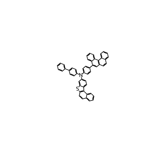 c1ccc(-c2ccc(N(c3ccc(-c4cc5ccc6ccccc6c5c5ccccc45)cc3)c3ccc4c(c3)sc3ccc5ccccc5c34)cc2)cc1